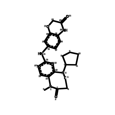 CN1C(=O)CCN(C2CCCC2)c2nc(Nc3ccc4c(c3)OCC(=O)N4)ncc21